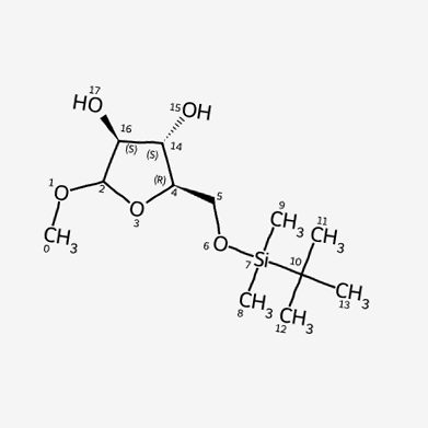 COC1O[C@H](CO[Si](C)(C)C(C)(C)C)[C@@H](O)[C@@H]1O